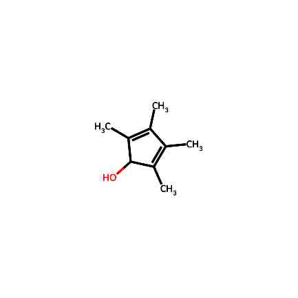 CC1=C(C)C(O)C(C)=C1C